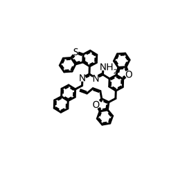 C=C/C=C\c1oc2ccccc2c1Cc1cc(/C(N)=N/C(=N\Cc2ccc3ccccc3c2)c2cccc3sc4ccccc4c23)c2c(c1)oc1ccccc12